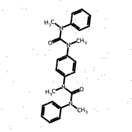 CN(C(=O)N(C)c1ccc(N(C)C(=O)N(C)c2ccccc2)cc1)c1ccccc1